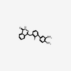 Nc1ccc(-c2cccc(Cc3n[nH]c(=O)c4ccccc34)c2F)cc1N